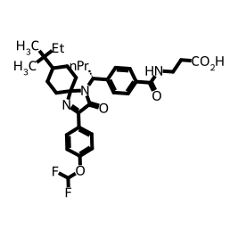 CCC[C@H](c1ccc(C(=O)NCCC(=O)O)cc1)N1C(=O)C(c2ccc(OC(F)F)cc2)=NC12CCC(C(C)(C)CC)CC2